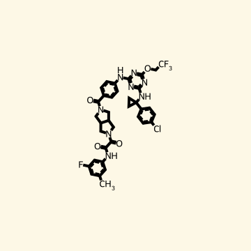 Cc1cc(F)cc(NC(=O)C(=O)N2CC3CN(C(=O)c4ccc(Nc5nc(NC6(c7ccc(Cl)cc7)CC6)nc(OCC(F)(F)F)n5)cc4)CC3C2)c1